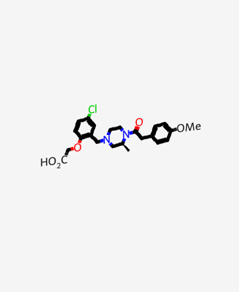 COc1ccc(CC(=O)N2CCN(Cc3cc(Cl)ccc3OCC(=O)O)C[C@@H]2C)cc1